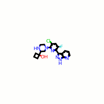 OC1(C2CN(c3nc(-c4n[nH]c5ncccc45)c(F)cc3Cl)CCN2)CCC1